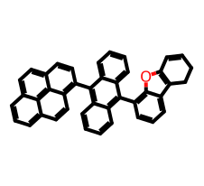 C1=Cc2oc3c(-c4c5ccccc5c(-c5ccc6ccc7cccc8ccc5c6c78)c5ccccc45)cccc3c2CC1